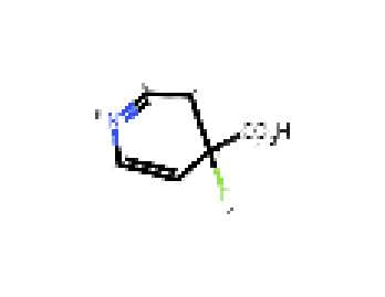 O=C(O)C1(F)C=CN=CC1